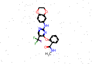 CNC(=O)c1ccccc1Oc1nc(Nc2ccc3c(c2)OCCO3)ncc1C(F)(F)I